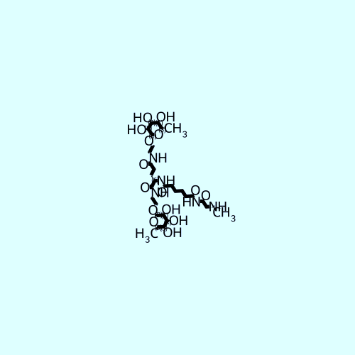 CNCC(=O)NC(=O)CCCCC(=O)N[C@@H](CCC(=O)NCCO[C@@H]1O[C@@H](C)[C@@H](O)[C@@H](O)[C@@H]1O)C(=O)NCCO[C@@H]1O[C@@H](C)[C@@H](O)[C@@H](O)[C@@H]1O